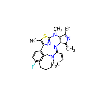 C=C1N=C(CC)C(N(C)c2nc(-c3ccc(F)cc3)c(C#N)s2)=C1/N=C(\C=C/C)N1CCCCCCC1